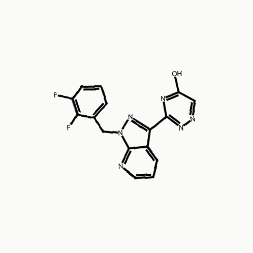 Oc1cnnc(-c2nn(Cc3cccc(F)c3F)c3ncccc23)n1